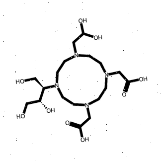 O=C(O)CN1CCN(CC(=O)O)CCN([C@H](CO)[C@H](O)CO)CCN(CC(O)O)CC1